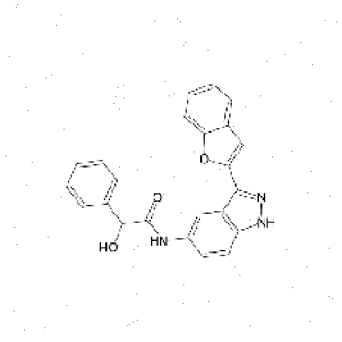 O=C(Nc1ccc2[nH]nc(-c3cc4ccccc4o3)c2c1)C(O)c1ccccc1